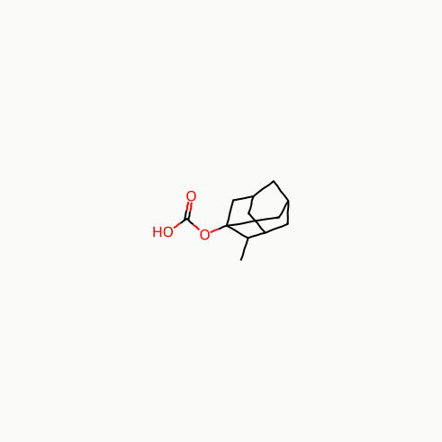 CC1C2CC3CC(C2)CC1(OC(=O)O)C3